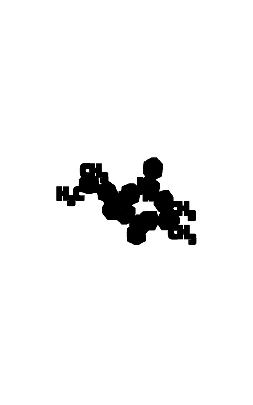 Cc1cc(C)cc(-c2ccc3c(c2)c2ccccc2n3-c2cccc(-c3cc(-c4nc(-c5ccccc5)cc(-c5ccccc5)n4)ccc3-n3c4ccccc4c4cc(-c5cc(C)cc(C)c5)ccc43)c2)c1